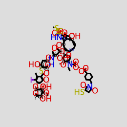 CCN(C(=O)OCOC(=O)C1CCC(CN2C(=O)CC(S)C2=O)CC1)[C@H]1CO[C@@H](O[C@H]2C(O[C@H]3C#C/C=C\C#C[C@@]4(O)CC(=O)C(NC(=O)OC)=C3/C4=C\CSSSC)OC[C@@H](NO[C@H]3C[C@H](O)[C@H](SC(=O)c4c(C)c(I)c(O[C@@H]5O[C@@H](C)[C@H](O)[C@@H](OC)[C@H]5O)c(OC)c4OC)[C@@H](C)O3)[C@@H]2O)C[C@@H]1OC